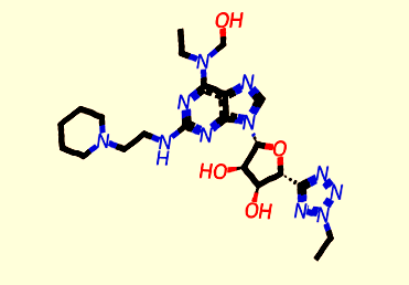 CCN(CO)c1nc(NCCN2CCCCC2)nc2c1ncn2[C@@H]1O[C@H](c2nnn(CC)n2)[C@@H](O)[C@H]1O